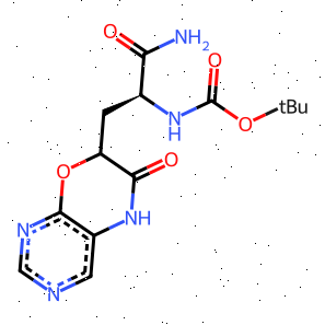 CC(C)(C)OC(=O)N[C@@H](CC1Oc2ncncc2NC1=O)C(N)=O